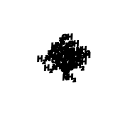 NCCS(=O)(=O)N[C@@H]1C[C@H](N)[C@@H](O[C@H]2O[C@H](CNCCO)CC[C@H]2N)[C@H](O[C@@H]2O[C@H](CO)[C@@H](O[C@H]3O[C@@H](CN)[C@@H](O)[C@H](O)[C@H]3N)[C@H]2O)[C@H]1O